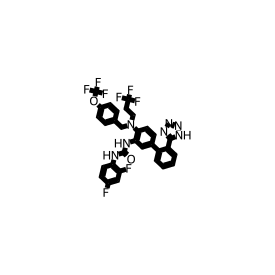 O=C(Nc1ccc(F)cc1F)Nc1cc(-c2ccccc2-c2nnn[nH]2)ccc1N(CCC(F)(F)F)Cc1ccc(OC(F)(F)F)cc1